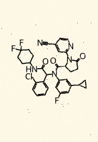 N#Cc1ccnc(N2C(=O)CC[C@H]2C(=O)N(c2cc(F)cc(C3CC3)c2)C(C(=O)NC2CCC(F)(F)CC2)c2ccccc2Cl)c1